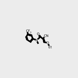 CCOC=C(C#N)C(=O)N(C)c1cccc(C(F)(F)F)c1